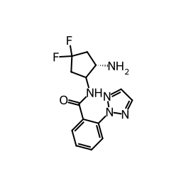 N[C@H]1CC(F)(F)CC1NC(=O)c1ccccc1-n1nccn1